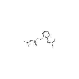 CC(C)=C[SiH2]CCc1ccccc1OC(I)I